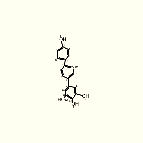 Oc1ccc(-c2ccc(-c3cc(O)c(O)c(O)c3)cn2)cc1